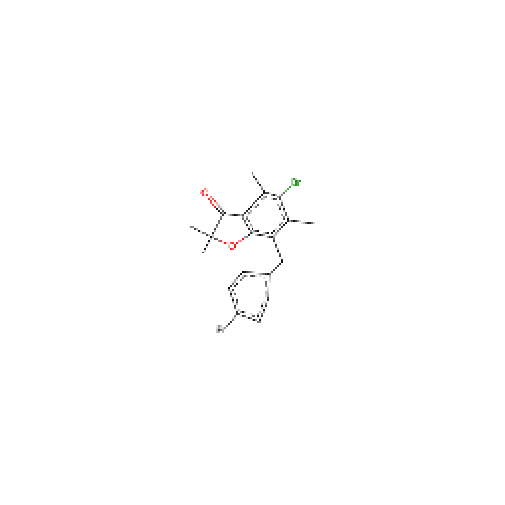 Cc1c(Br)c(C)c2c(c1Cc1ccc(C(C)C)cc1)OC(C)(C)C2=O